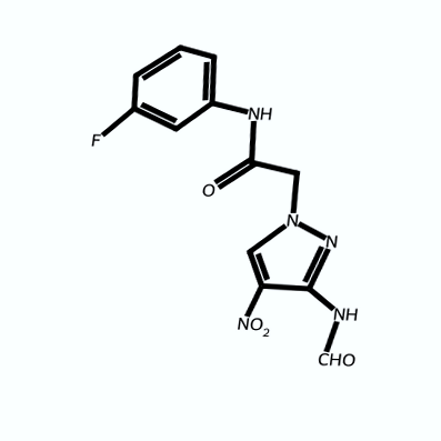 O=CNc1nn(CC(=O)Nc2cccc(F)c2)cc1[N+](=O)[O-]